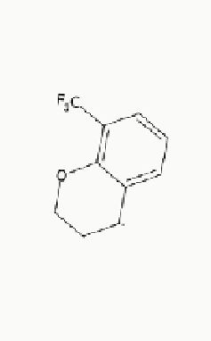 FC(F)(F)c1cccc2c1OCC[CH]2